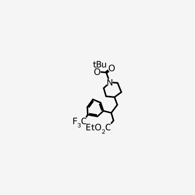 CCOC(=O)CC(CC1CCN(C(=O)OC(C)(C)C)CC1)c1cccc(C(F)(F)F)c1